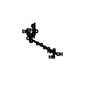 CCN(CC)c1ccc(NC(=O)c2cccc(CCCOCCOCCOCCOCCNC(=O)N(CCO)CCO)c2)c(-c2cc(C(=O)NCc3cccc(C)c3)ccn2)c1